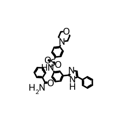 NC(=O)c1ccccc1.O=S(=O)(Nc1cccc(-c2ncc(-c3ccccc3)[nH]2)c1)c1ccc(N2CCOCC2)cc1